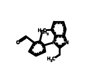 CCc1nc2cccc(C)c2n1-c1cccc(C=O)c1C